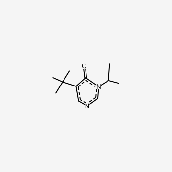 CC(C)n1cncc(C(C)(C)C)c1=O